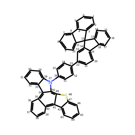 c1ccc2c(c1)-c1ccccc1C21c2ccccc2-c2ccc(-c3ccc(-n4c5ccccc5c5c6ccccc6c6c7ccccc7sc6c54)cc3)cc21